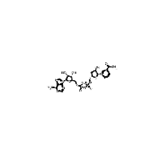 NC(=O)c1ccc[n+]([C@@H]2S[C@H](COP(=O)(O)OP(=O)([O-])OC[C@H]3O[C@@H](n4cnc5c(N)ncnc54)[C@H](O)[C@@H]3O)C[C@H]2O)c1